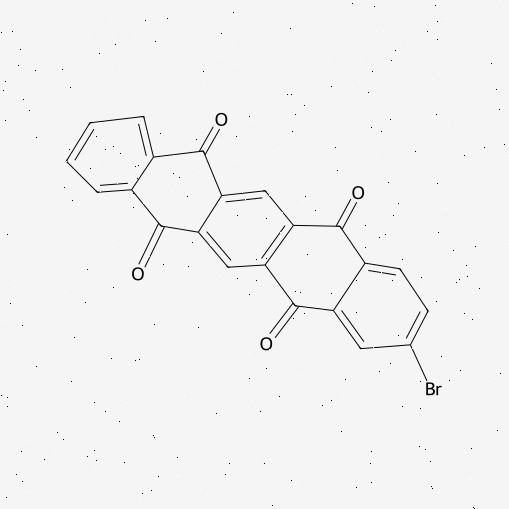 O=c1c2ccccc2c(=O)c2cc3c(=O)c4cc(Br)ccc4c(=O)c3cc12